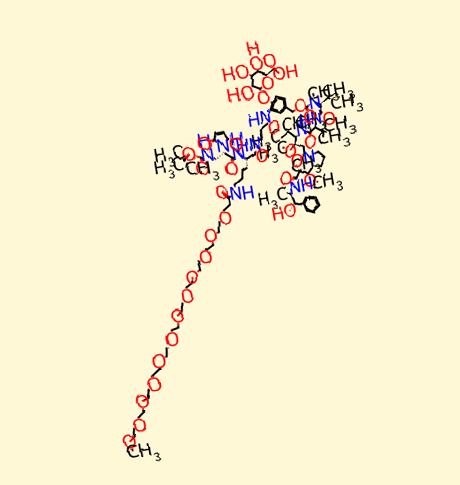 CC[C@H](C)[C@@H]([C@@H](CC(=O)N1CCC[C@H]1[C@H](OC)[C@@H](C)C(=O)N[C@H](C)[C@@H](O)c1ccccc1)OC)N(C)C(=O)[C@@H](NC(=O)[C@H](C(C)C)N(C)C(=O)OCc1ccc(O[C@@H]2O[C@H](C(=O)O)[C@@H](O)[C@H](O)[C@H]2O)c(NC(=O)CCNC(=O)[C@H](CCCCNC(=O)CCOCCOCCOCCOCCOCCOCCOCCOCCOCCOCCOCCOC)NC(=O)[C@H](CNC(=O)OC(C)(C)C)N2C(=O)C=CC2=O)c1)C(C)C